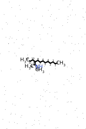 CCCCCCCCCC(CCC)C(C)NC